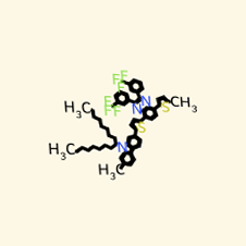 CCCCCCCCC(CCCCCCCC)n1c2cc(C)ccc2c2ccc(-c3ccc(-c4ccc(-c5ccc(C)s5)c5nc(-c6cccc(C(F)(F)F)c6)c(-c6cccc(C(F)(F)F)c6)nc45)s3)cc21